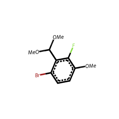 COc1ccc(Br)c(C(OC)OC)c1F